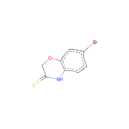 S=C1COc2cc(Br)ccc2N1